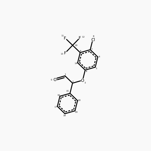 O=[C]C(Oc1ccc(Cl)c(C(F)(F)F)c1)c1ccccc1